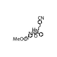 COC1CCN(c2ccc(NC(=O)[C@@H](NCCCc3ccc(C#N)cc3)c3ccccc3)nc2)C1